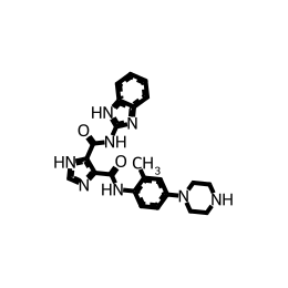 Cc1cc(N2CCNCC2)ccc1NC(=O)c1nc[nH]c1C(=O)Nc1nc2ccccc2[nH]1